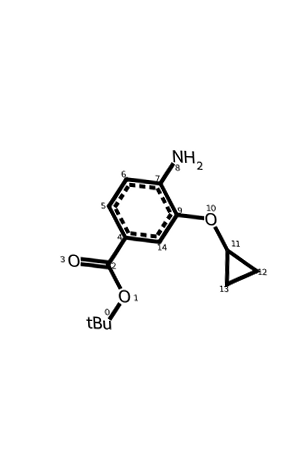 CC(C)(C)OC(=O)c1ccc(N)c(OC2CC2)c1